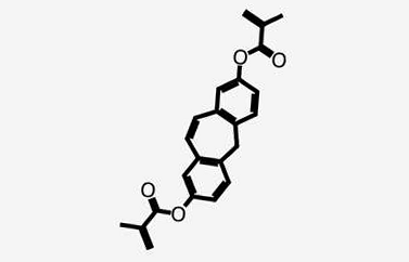 C=C(C)C(=O)Oc1ccc2c(c1)C=Cc1cc(OC(=O)C(=C)C)ccc1C2